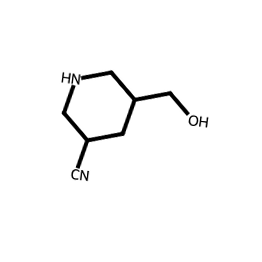 N#CC1CNCC(CO)C1